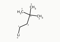 [Li][CH2]CC(C)(C)C